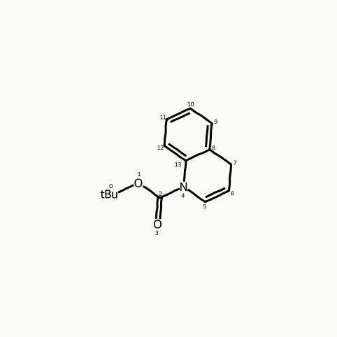 CC(C)(C)OC(=O)N1C=CCc2ccccc21